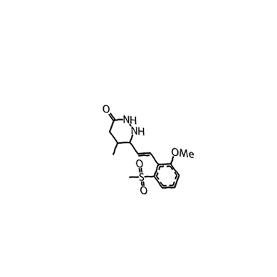 COc1cccc(S(C)(=O)=O)c1/C=C/C1NNC(=O)CC1C